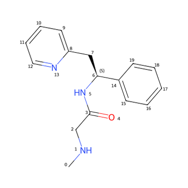 CNCC(=O)N[C@@H](Cc1ccccn1)c1ccccc1